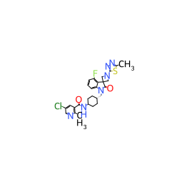 Cc1nnc(N2CC3(C2)C(=O)N(C[C@H]2CC[C@H](NC(=O)c4cc(Cl)cnc4C)CC2)c2cccc(F)c23)s1